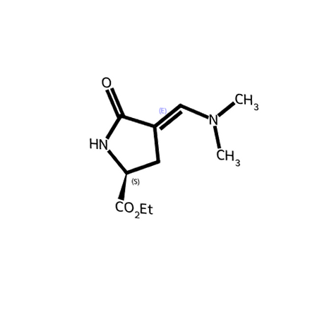 CCOC(=O)[C@@H]1C/C(=C\N(C)C)C(=O)N1